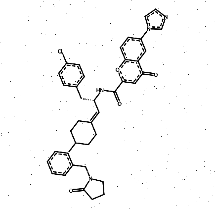 O=C(N[C@H](C=C1CCC(c2ccccc2CN2CCCC2=O)CC1)Cc1ccc(Cl)cc1)c1cc(=O)c2cc(-n3ccnc3)ccc2o1